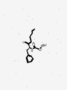 C=CCCCC(=O)[C@H](Cc1ccccc1)NC(=O)OC(C)(C)C